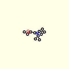 c1ccc(-c2ccc(N(c3ccc(-c4ccc5oc6c(-c7ccccc7)cccc6c5c4)cc3)c3ccc4c(c3)C3(c5ccccc5-c5ccccc53)c3ccccc3-4)cc2-c2ccccc2)cc1